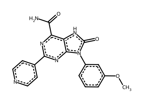 COc1cccc(-n2c(=O)[nH]c3c(C(N)=O)nc(-c4ccncc4)nc32)c1